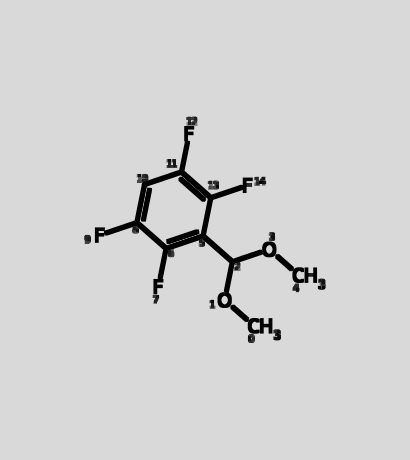 COC(OC)c1c(F)c(F)cc(F)c1F